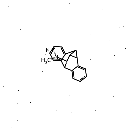 CN(C)C1C2c3ccccc3C3C(c4ccccc42)C31